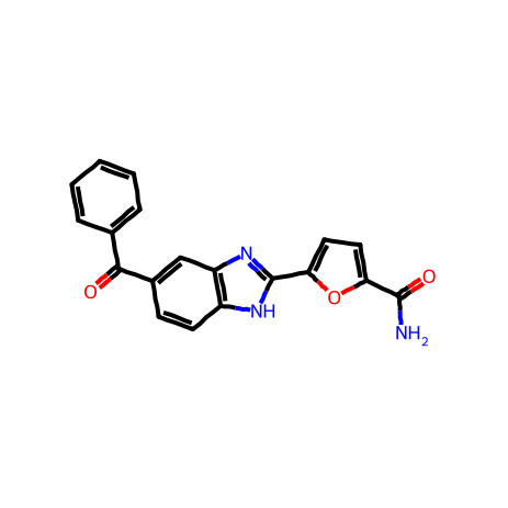 NC(=O)c1ccc(-c2nc3cc(C(=O)c4ccccc4)ccc3[nH]2)o1